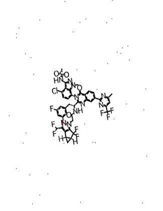 Cc1cc(C(F)(F)F)nc(-c2ccc3c(=O)n(-c4ccc(Cl)c5c(NS(C)(=O)=O)nn(C)c45)c([C@H](Cc4cc(F)cc(F)c4)NC(=O)Cn4nc(C(F)F)c5c4C(F)(F)[C@@H]4C[C@H]54)nc3c2)n1